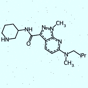 CC(C)CN(C)c1ccc2c(C(=O)NC3CCCNC3)nn(C)c2n1